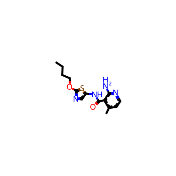 CCCCOc1ncc(NC(=O)c2c(C)ccnc2N)s1